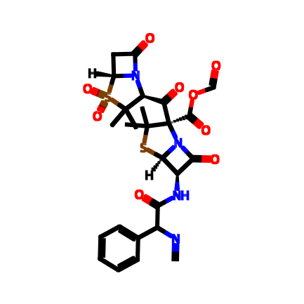 C=NC(C(=O)N[C@@H]1C(=O)N2[C@@H]1SC(C)(C)[C@@]2(C(=O)OC=O)C(=O)[C@@H]1N2C(=O)C[C@H]2S(=O)(=O)C1(C)C)c1ccccc1